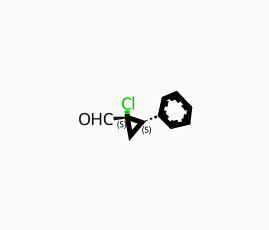 O=C[C@]1(Cl)C[C@H]1c1ccccc1